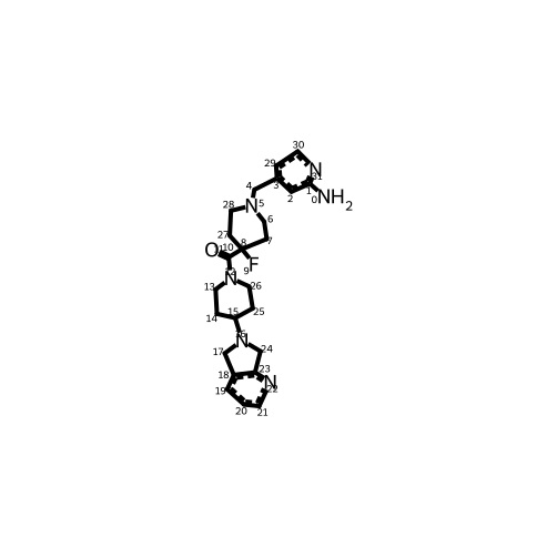 Nc1cc(CN2CCC(F)(C(=O)N3CCC(N4Cc5cccnc5C4)CC3)CC2)ccn1